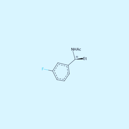 [CH2]C[C@H](NC(C)=O)c1cccc(F)c1